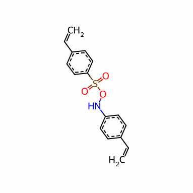 C=Cc1ccc(NOS(=O)(=O)c2ccc(C=C)cc2)cc1